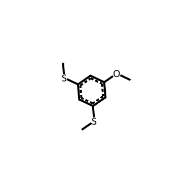 COc1cc(SC)cc(SC)c1